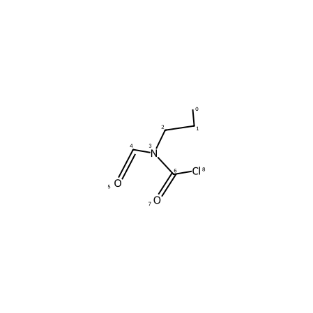 CCCN(C=O)C(=O)Cl